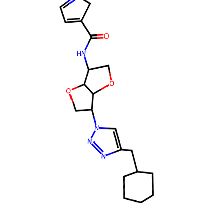 O=C(NC1COC2C1OCC2n1cc(CC2CCCCC2)nn1)C1=CC=NC1